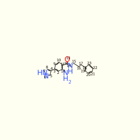 Nc1cc(-c2cn[nH]c2)ccc1C(=O)NCCCc1ccccc1